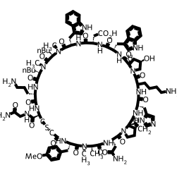 C=C[C@@]12CCCN1C(=O)[C@H](CC(N)=O)NC(=O)[C@H](C)N(C)C(=O)[C@H](Cc1ccc(OC)cc1)NC(=O)CSC[C@@H](C(=O)NCC(N)=O)NC(=O)[C@H](CCCN)NC(=O)[C@H](CCCC)N(C)C(=O)[C@H](CCCC)N(C)C(=O)[C@H](Cc1c[nH]c3ccccc13)NC(=O)[C@H](CC(=O)O)NC(=O)[C@H](Cc1c[nH]c3ccccc13)NC(=O)[C@@H]1C[C@@H](O)CN1C(=O)C(CCCCN)NC(=O)[C@H](Cc1cnc[nH]1)NC2=O